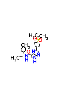 CCC[C@@H](NC(=O)c1c[nH]c2ncc(-c3ccc(S(=O)(=O)C(C)C)cc3)nc12)c1ccc(C)cc1